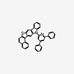 c1ccc(-c2cc(-c3ccccc3)nc(-n3c4ccccc4c4cc5sc6ccc7ccccc7c6c5cc43)c2)cc1